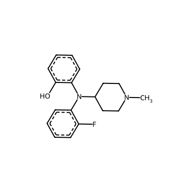 CN1CCC(N(c2ccccc2O)c2ccccc2F)CC1